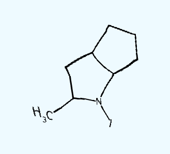 CC1CC2CCCC2N1I